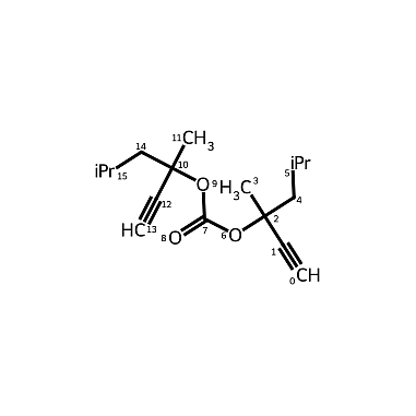 C#CC(C)(CC(C)C)OC(=O)OC(C)(C#C)CC(C)C